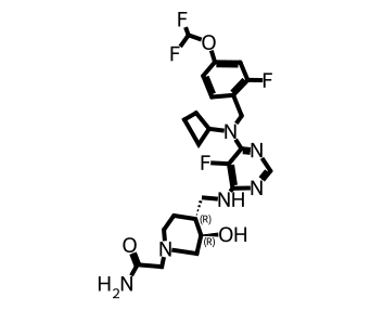 NC(=O)CN1CC[C@H](CNc2ncnc(N(Cc3ccc(OC(F)F)cc3F)C3CCC3)c2F)[C@@H](O)C1